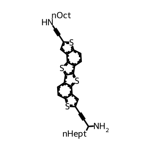 CCCCCCCCNC#Cc1cc2c(ccc3c2sc2c4ccc5sc(C#CC(N)CCCCCCC)cc5c4sc32)s1